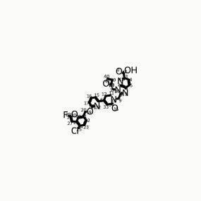 O=C(O)c1ccc2nc(CN3CCC(c4cccc(OCc5ccc(Cl)c6cc(F)oc56)n4)=CC3=O)n(C[C@@H]3CCO3)c2n1